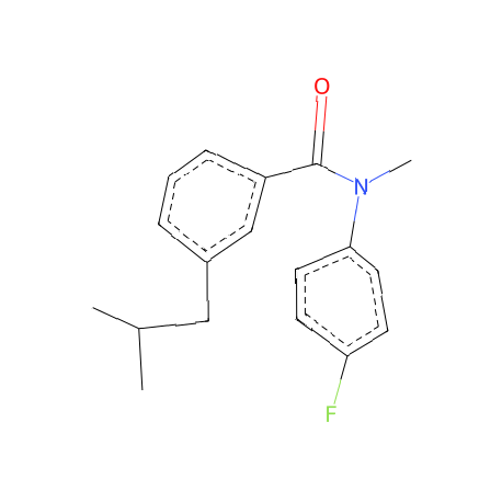 CC(C)Cc1cccc(C(=O)N(C)c2ccc(F)cc2)c1